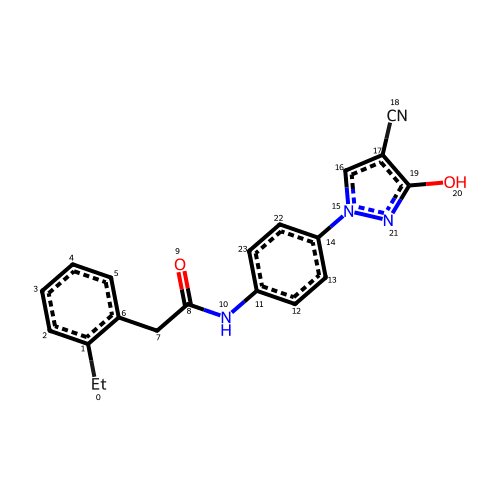 CCc1ccccc1CC(=O)Nc1ccc(-n2cc(C#N)c(O)n2)cc1